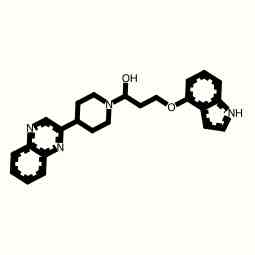 OC(CCOc1cccc2[nH]ccc12)N1CCC(c2cnc3ccccc3n2)CC1